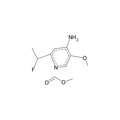 COC=O.COc1cnc(C(C)F)cc1N